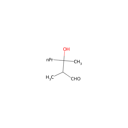 CCCC(C)(O)C(C)C=O